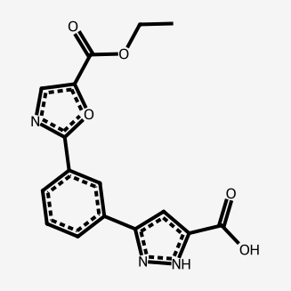 CCOC(=O)c1cnc(-c2cccc(-c3cc(C(=O)O)[nH]n3)c2)o1